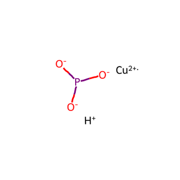 [Cu+2].[H+].[O-]P([O-])[O-]